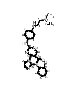 CN(C)CCNc1ccc(Nc2ncc3c(=O)n(-c4ccccc4Cl)c4nccn4c3n2)cc1